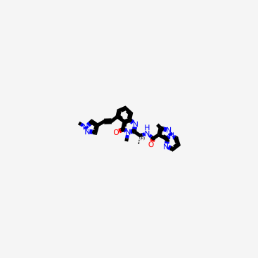 Cc1nn2cccnc2c1C(=O)N[C@H](C)c1nc2cccc(C#Cc3cnn(C)c3)c2c(=O)n1C